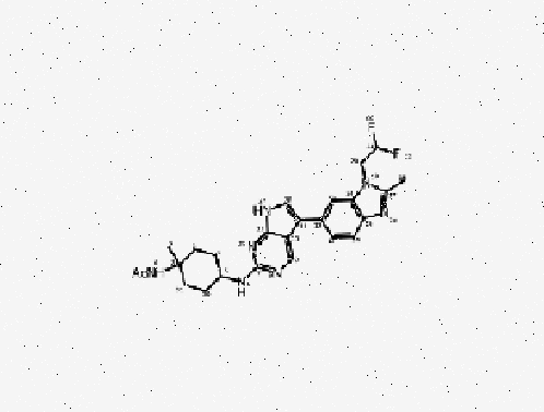 CC(=O)NC1(C)CCC(Nc2ncc3c(-c4ccc5nc(C)n(CC(F)F)c5c4)c[nH]c3n2)CC1